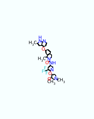 CO[C@H]1CN(C)CC[C@H]1Oc1ncc(NC(=O)N2CCc3ccc(Oc4ccnc5[nH]c(C)cc45)cc3[C@@H]2C)cc1C(F)(F)F